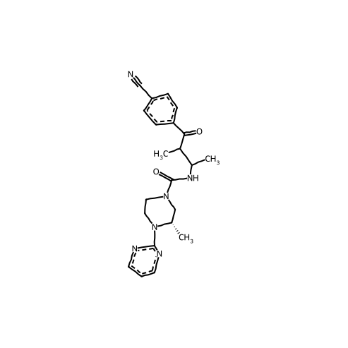 CC(NC(=O)N1CCN(c2ncccn2)[C@@H](C)C1)C(C)C(=O)c1ccc(C#N)cc1